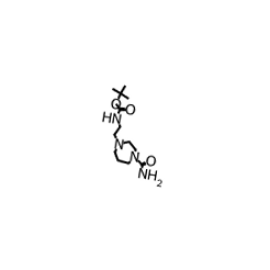 CC(C)(C)OC(=O)NCCN1CCCN(C(N)=O)CC1